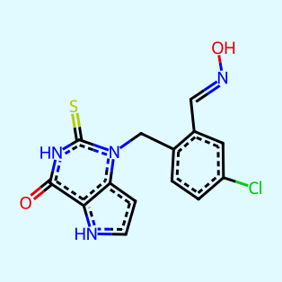 O=c1[nH]c(=S)n(Cc2ccc(Cl)cc2C=NO)c2cc[nH]c12